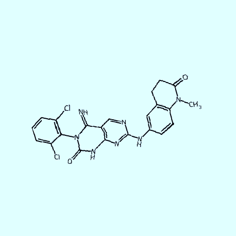 CN1C(=O)CCc2cc(Nc3ncc4c(=N)n(-c5c(Cl)cccc5Cl)c(=O)[nH]c4n3)ccc21